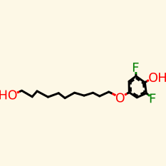 OCCCCCCCCCCCOc1cc(F)c(O)c(F)c1